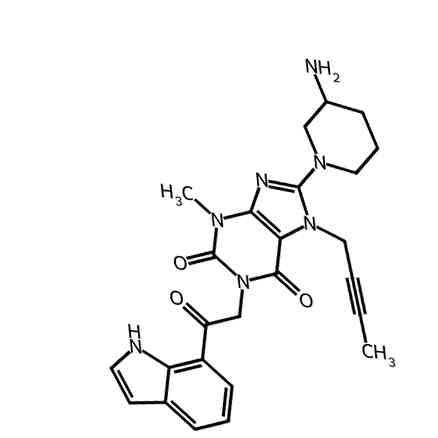 CC#CCn1c(N2CCCC(N)C2)nc2c1c(=O)n(CC(=O)c1cccc3cc[nH]c13)c(=O)n2C